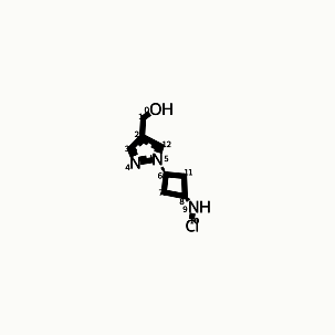 OCc1cnn([C@H]2C[C@H](NCl)C2)c1